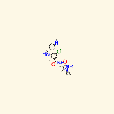 CCn1[nH]c(=O)c(CNC(=O)c2cc(Cl)cc(NC(C)[C@H]3CC[C@H](N(C)C)CC3)c2C)c1C